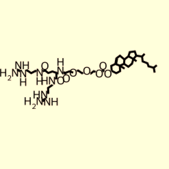 CC(C)CCCC(C)C1CCC2C3CC=C4CC(OC(=O)OCCOCCOCC(=O)NC(CCC(=O)NCCCNC(=N)N)C(=O)NCCCNC(=N)N)CCC4(C)C3CCC12C